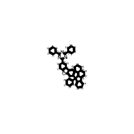 c1ccc(-c2nc(-c3ccccc3)nc(-c3ccc4oc5cc(C6(c7ccccc7)c7ccccc7-c7ccc8ccccc8c76)ccc5c4c3)n2)cc1